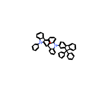 c1ccc(N(c2ccc3c(c2)C(c2ccccc2)(c2ccccc2)c2ccccc2-3)c2ccccc2-c2ccc3c4ccccc4n(-c4ccccc4)c3c2)cc1